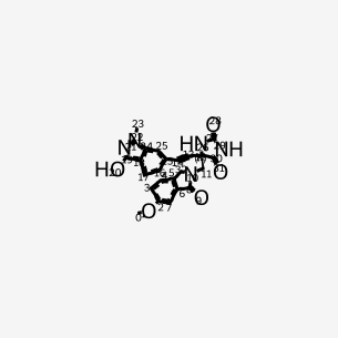 COc1ccc2c(c1)C(=O)N(C[C@@]1(C#Cc3ccc4c(O)nn(C)c4c3)NC(=O)NC1=O)C2